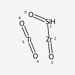 O=[SiH][Zr]=[O].[O]=[Ti]=[O]